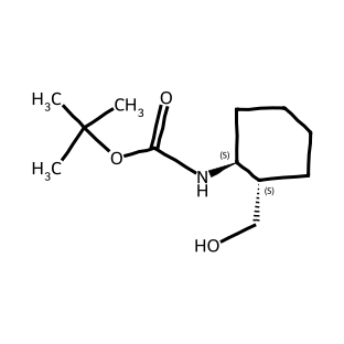 CC(C)(C)OC(=O)N[C@H]1CCCC[C@@H]1CO